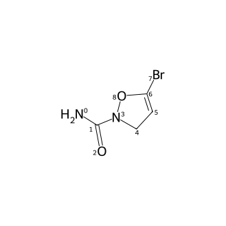 NC(=O)N1CC=C(Br)O1